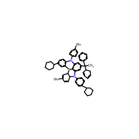 CC(C)(C)C1=CC2B3c4cc(C5CCCCC5)ccc4N(c4ccc(C(C)(C)C)cc4)c4cc(C(C)(c5ccccc5)C5C=CC=CC5)cc(c43)N(c3ccc(C4CCCCC4)cc3)C2C=C1